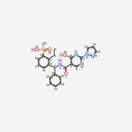 CCc1c([C@@H](NC(=O)c2cnc(-n3cccn3)nc2O)c2ccccc2)cccc1P(C)(=O)O